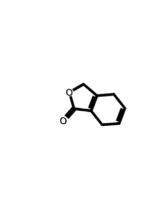 O=C1OCC2=C1CC=CC2